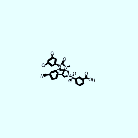 CN1C(=O)N(c2cc(Cl)cc(Cl)c2)C(=O)[C@]12CN(S(=O)(=O)c1cccc(C(=O)O)c1)C[C@H]2c1ccc(C#N)cc1